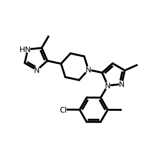 Cc1cc(N2CCC(c3nc[nH]c3C)CC2)n(-c2cc(Cl)ccc2C)n1